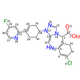 O=C(O)C1C2=C(C=C(Cl)CC2)NC=C2N1C=NN2C1CC=C(c2cc(F)ccn2)CC1